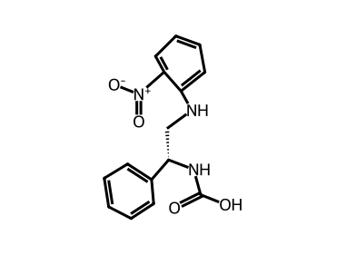 O=C(O)N[C@@H](CNc1ccccc1[N+](=O)[O-])c1ccccc1